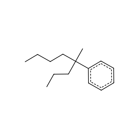 CCCCC(C)(CCC)c1ccccc1